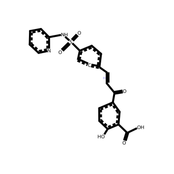 O=C(/C=C/c1ccc(S(=O)(=O)Nc2ccccn2)cc1)c1ccc(O)c(C(=O)O)c1